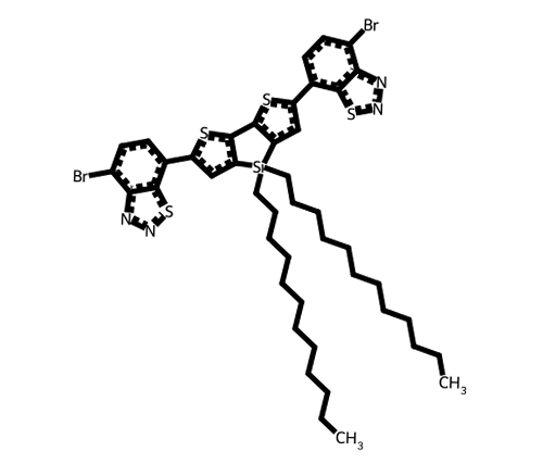 CCCCCCCCCCCC[Si]1(CCCCCCCCCCCC)c2cc(-c3ccc(Br)c4nnsc34)sc2-c2sc(-c3ccc(Br)c4nnsc34)cc21